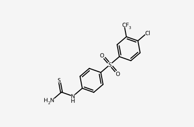 NC(=S)Nc1ccc(S(=O)(=O)c2ccc(Cl)c(C(F)(F)F)c2)cc1